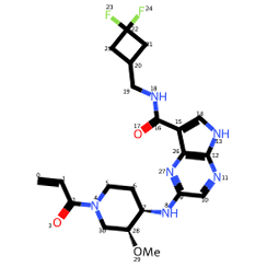 C=CC(=O)N1CC[C@@H](Nc2cnc3[nH]cc(C(=O)NCC4CC(F)(F)C4)c3n2)[C@@H](OC)C1